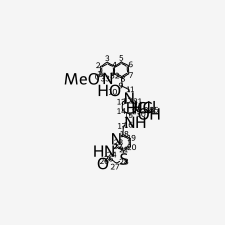 COc1ccc2cccc([C@H](O)CN3CC[C@H](NCc4ccc5c(n4)NC(=O)CS5)[C@H](O)C3)c2n1.Cl.Cl